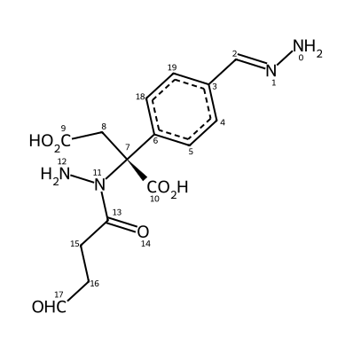 NN=Cc1ccc([C@](CC(=O)O)(C(=O)O)N(N)C(=O)CCC=O)cc1